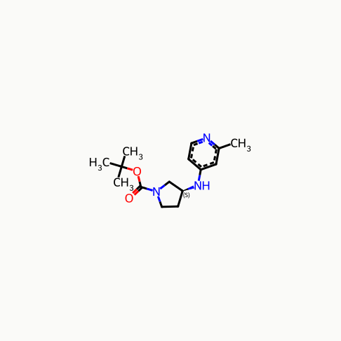 Cc1cc(N[C@H]2CCN(C(=O)OC(C)(C)C)C2)ccn1